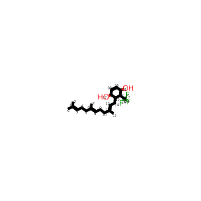 CC(C)=CCC/C(C)=C/CC/C(C)=C/CC1C(O)C=CC(O)C1C(F)(F)F